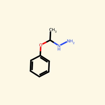 CC(NN)Oc1ccccc1